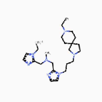 CC(C)CN1CCC2(CC1)CCN(CCCn1ccnc1CN(C)Cc1nccn1CC(=O)O)C2